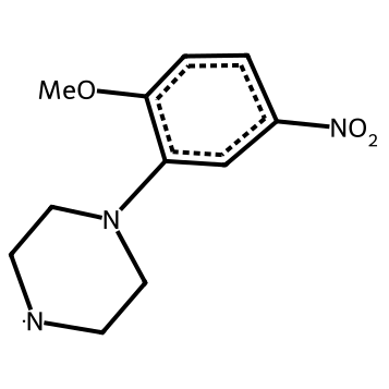 COc1ccc([N+](=O)[O-])cc1N1CC[N]CC1